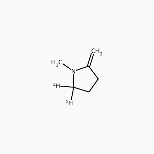 [2H]C1([2H])CCC(=C)N1C